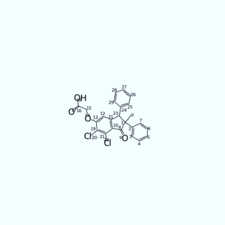 CC1(c2ccccc2)C(=O)c2c(cc(OCC(=O)O)c(Cl)c2Cl)C1c1ccccc1